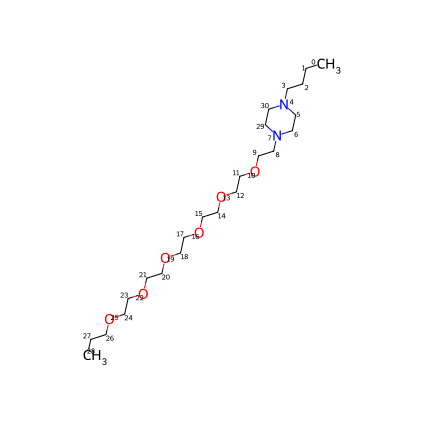 CCCCN1CCN(CCOCCOCCOCCOCCOCCOCCC)CC1